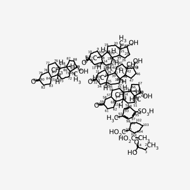 CC(=O)O.CCC(=O)O.C[C@]12CCC(=O)C[C@H]1CC[C@@H]1[C@@H]2CC[C@]2(C)[C@@H](O)CC[C@@H]12.C[C@]12CCC(=O)C[C@H]1CC[C@@H]1[C@@H]2CC[C@]2(C)[C@@H](O)CC[C@@H]12.C[C@]12CC[C@H]3[C@@H](CCC4CC(=O)CC[C@@]43C)[C@@H]1CC[C@@H]2O.C[C@]12CC[C@H]3[C@@H](CCC4CC(=O)CC[C@@]43C)[C@@H]1CC[C@@H]2O.Cc1ccc(S(=O)(=O)O)cc1.O=C(O)C1CCCCC1